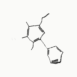 CCc1cc(-c2ccccc2)c(C)c(S)c1O